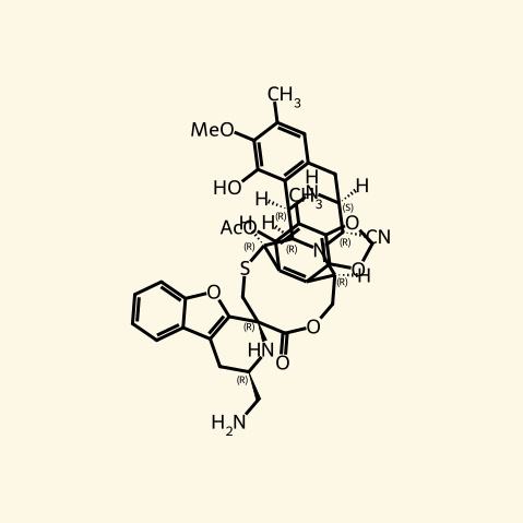 COc1c(C)cc2c(c1O)[C@H]1N[C@@H](C2)[C@H](C#N)N2[C@H]1[C@@H]1SC[C@]3(N[C@@H](CN)Cc4c3oc3ccccc43)C(=O)OC[C@H]2c2c3c(c(C)c(OC(C)=O)c21)OCO3